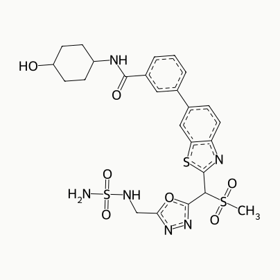 CS(=O)(=O)C(c1nnc(CNS(N)(=O)=O)o1)c1nc2ccc(-c3cccc(C(=O)NC4CCC(O)CC4)c3)cc2s1